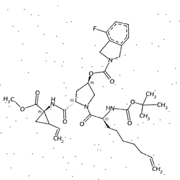 C=CCCCCC[C@H](NC(=O)OC(C)(C)C)C(=O)N1C[C@H](OC(=O)N2Cc3cccc(F)c3C2)C[C@H]1C(=O)N[C@]1(C(=O)OC)CC1C=C